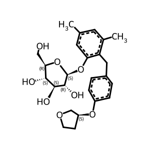 Cc1cc(C)c(Cc2ccc(O[C@H]3CCOC3)cc2)c(O[C@@H]2O[C@H](CO)[C@@H](O)[C@H](O)[C@H]2O)c1